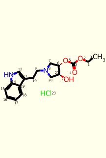 CCOC(=O)O[C@H]1CN(CCc2c[nH]c3ccccc23)C[C@@H]1O.Cl